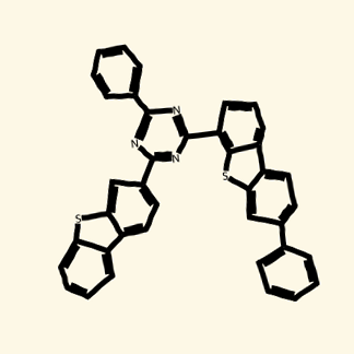 c1ccc(-c2ccc3c(c2)sc2c(-c4nc(-c5ccccc5)nc(-c5ccc6c(c5)sc5ccccc56)n4)cccc23)cc1